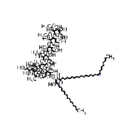 CCCCCCCC/C=C\CCCCCCCCCCCCCCCC(=O)N[C@@H](CO[C@@H]1OC(CO)[C@@H](O[C@@H]2OC(CO)[C@H](O[C@@H]3OC(CO)[C@H](O)[C@H](O[C@@H]4OC(CO)[C@H](O)[C@H](O[C@@H]5OC(CO)[C@H](O)[C@H](O[C@H]6OC(CO)[C@H](O)[C@H](O)C6NC(C)=O)C5NC(C)=O)C4O)C3NC(C)=O)[C@H](O[C@]3(C(=O)O)CC(O)[C@@H](NC(C)=O)C([C@H](O)[C@H](O)CO)O3)C2O)[C@H](O)C1O)[C@H](O)/C=C/CCCCCCCCCCCCC